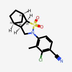 Cc1c(N2C[C@H]3[C@H]4CC[C@H](C4)[C@H]3S2(=O)=O)ccc(C#N)c1Cl